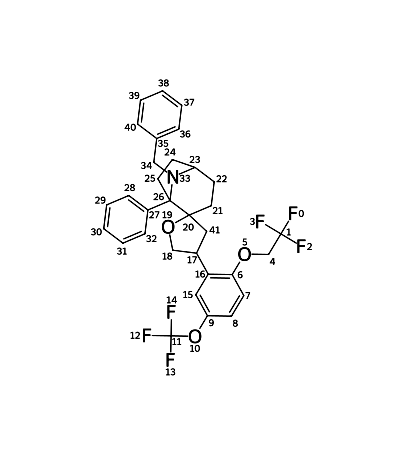 FC(F)(F)COc1ccc(OC(F)(F)F)cc1C1COC2(CCC3CCC2(c2ccccc2)N3Cc2ccccc2)C1